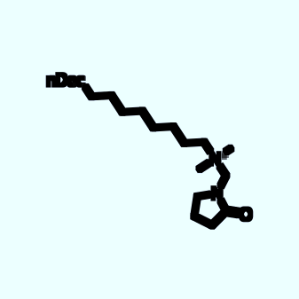 CCCCCCCCCCCCCCCCCC[N+](C)(C)CN1CCCC1=O